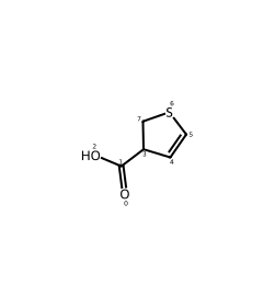 O=C(O)C1C=CSC1